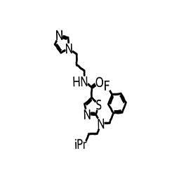 CC(C)CCN(Cc1cccc(F)c1)c1ncc(C(=O)NCCCn2ccnc2)s1